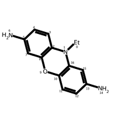 CCN1c2ccc(N)cc2Oc2ccc(N)cc21